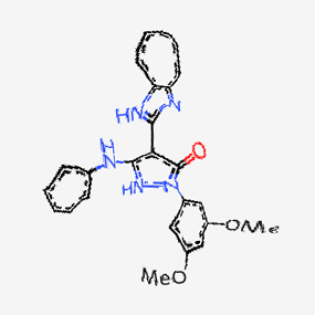 COc1cc(OC)cc(-n2[nH]c(Nc3ccccc3)c(-c3nc4ccccc4[nH]3)c2=O)c1